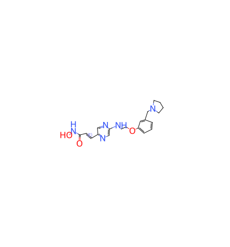 O=C(/C=C/c1cnc(NCCOc2cccc(CN3CCCC3)c2)cn1)NO